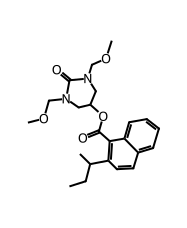 CCC(C)c1ccc2ccccc2c1C(=O)OC1CN(COC)C(=O)N(COC)C1